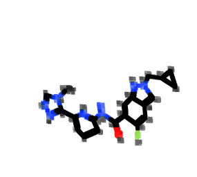 CC(C)n1cnnc1-c1cccc(NC(=O)c2cc3nn(CC4CC4)cc3cc2F)n1